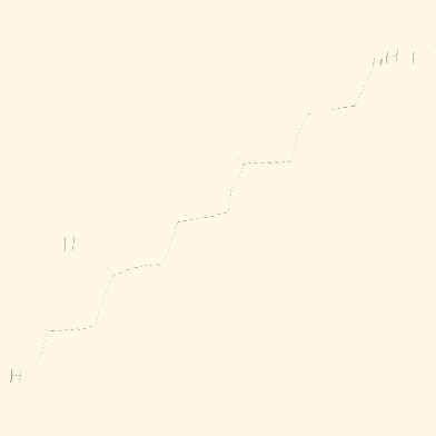 CCCCCCCCCCCCCCC(O)CCO